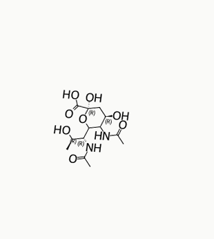 CC(=O)NC1C([C@H](NC(C)=O)[C@@H](C)O)O[C@@](O)(C(=O)O)C[C@H]1O